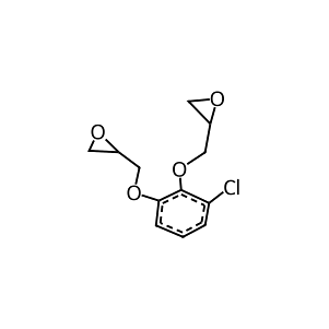 Clc1cccc(OCC2CO2)c1OCC1CO1